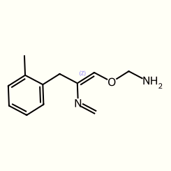 C=N/C(=C\OCN)Cc1ccccc1C